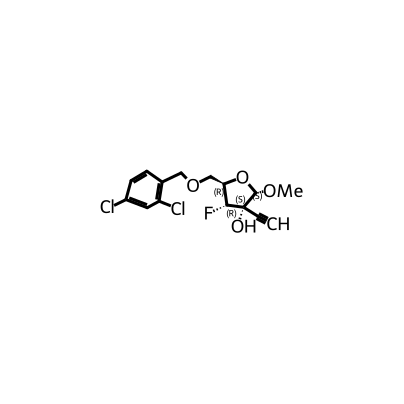 C#C[C@]1(O)[C@@H](OC)O[C@H](COCc2ccc(Cl)cc2Cl)[C@H]1F